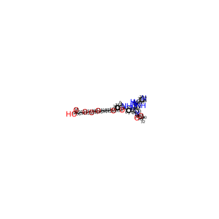 C[C@@H](NC(=O)c1cccc(NC2(c3nnc(-c4ccncc4)[nH]3)CCN(C(=O)OC(C)(C)C)CC2)c1)c1ccc(OCCCCCCOCCOCCOCCCC(=O)O)cc1